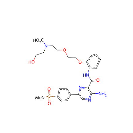 CNS(=O)(=O)c1ccc(-c2cnc(N)c(C(=O)Nc3ccccc3OCCOCCN(CCO)C(=O)O)n2)cc1